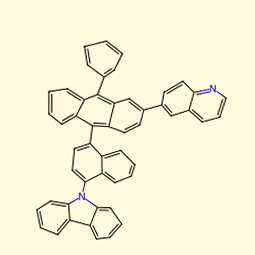 c1ccc(-c2c3ccccc3c(-c3ccc(-n4c5ccccc5c5ccccc54)c4ccccc34)c3ccc(-c4ccc5ncccc5c4)cc23)cc1